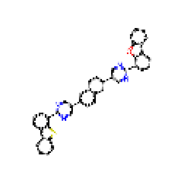 c1ccc2c(c1)oc1c(-c3ncc(-c4ccc5cc(-c6cnc(-c7cccc8c7sc7ccccc78)nc6)ccc5c4)cn3)cccc12